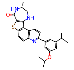 CC(C)Oc1cc(-c2ccc3c(ccc4sc5c(c43)NC[C@@H](C)NC5=O)n2)cc(C(C)C)c1